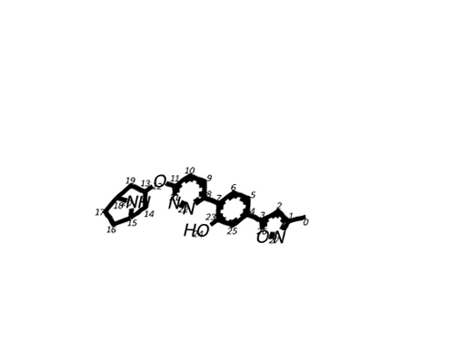 Cc1cc(-c2ccc(-c3ccc(OC4CC5CCC(C4)N5)nn3)c(O)c2)on1